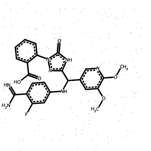 COc1cc(C(Nc2ccc(C(=N)N)c(F)c2)c2nn(-c3ccccc3C(=O)O)c(=O)[nH]2)cnc1OC